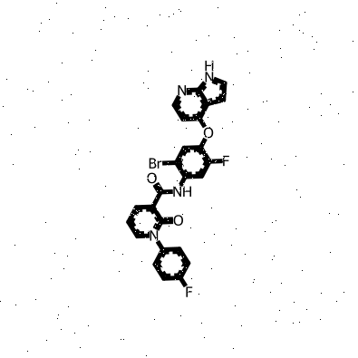 O=C(Nc1cc(F)c(Oc2ccnc3[nH]ccc23)cc1Br)c1cccn(-c2ccc(F)cc2)c1=O